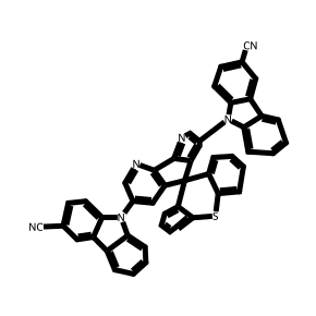 N#Cc1ccc2c(c1)c1ccccc1n2-c1cnc2c(c1)C1(c3ccccc3Sc3ccccc31)c1cc(-n3c4ccccc4c4cc(C#N)ccc43)cnc1-2